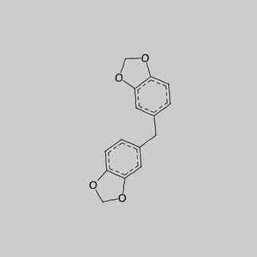 c1cc2c(cc1Cc1ccc3c(c1)OCO3)OCO2